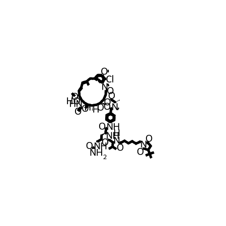 COc1cc2cc(c1Cl)N(C)C(=O)C[C@H](OC(=O)[C@H](C)N(C)C(=O)c1ccc(NC(=O)[C@H](CCCNC(N)=O)NC(=O)[C@@H](NC(=O)CCCCCN3C(=O)CC(C(C)(C)C)C3=O)C(C)C)cc1)[C@]1(C)O[C@H]1[C@H](C)[C@@H]1C[C@@](O)(NC(=O)O1)[C@H](OC)/C=C/C=C(\C)C2